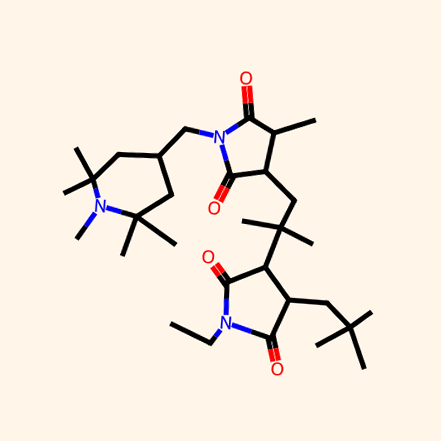 CCN1C(=O)C(CC(C)(C)C)C(C(C)(C)CC2C(=O)N(CC3CC(C)(C)N(C)C(C)(C)C3)C(=O)C2C)C1=O